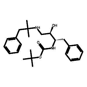 CC(C)(Cc1ccccc1)NC[C@@H](O)[C@H](Cc1ccccc1)NC(=O)OC(C)(C)C